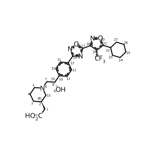 O=C(O)C[C@H]1CCCN(C[C@@H](O)c2ccc(-c3noc(-c4noc(C5CCCCC5)c4C(F)(F)F)n3)cc2)C1